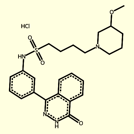 COC1CCCN(CCCCS(=O)(=O)Nc2cccc(-c3n[nH]c(=O)c4ccccc34)c2)C1.Cl